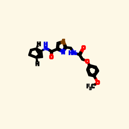 O=C(COc1ccc(OC(F)(F)F)cc1)NCc1nc(C(=O)N[C@@H]2C[C@@H]3CC[C@@H]2C3)cs1